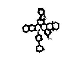 CC(C)(C)c1cc2c3c(c1)C1(C)CCCCC1(C)CC3c1c3c(cc4c1sc1ccccc14)-c1cc4ccccc4cc1N(c1ccc(-c4ccccc4)cc1)B23